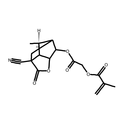 C=C(C)C(=O)OCC(=O)OC1C2OC(=O)C3(C#N)CC1[C@H](C)C23